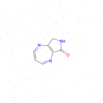 O=C1NCC2=C1N=CC=C=N2